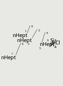 CCCCCCCC.CCCCCCCC.CCCCCCCC.CCCCCCCC.Cl.[SiH4]